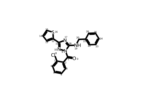 O=C(c1ccccc1Cl)n1nc(-c2cccs2)nc1NCc1ccccc1